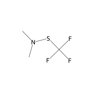 CN(C)SC(F)(F)F